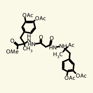 COC(=O)C(C)(Cc1ccc(OC(C)=O)c(OC(C)=O)c1)NNC(=O)CC(=O)NNC(C)(Cc1ccc(OC(C)=O)c(OC(C)=O)c1)C(C)=O